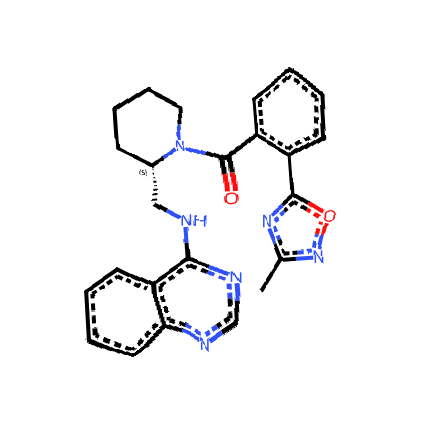 Cc1noc(-c2ccccc2C(=O)N2CCCC[C@H]2CNc2ncnc3ccccc23)n1